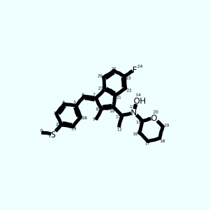 CSc1ccc(C=C2C(C)=C(C(C)N(O)C3CCCCO3)c3cc(F)ccc32)cc1